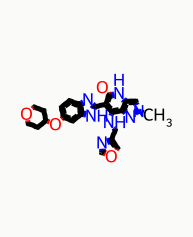 Cn1cc2[nH]c(=O)c(-c3nc4ccc(OC5CCOCC5)cc4[nH]3)c(NCc3cocn3)c2n1